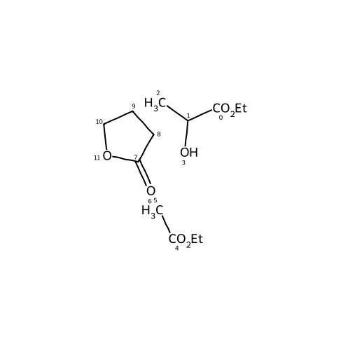 CCOC(=O)C(C)O.CCOC(C)=O.O=C1CCCO1